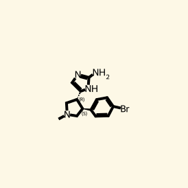 CN1C[C@H](c2ccc(Br)cc2)[C@@H](c2cnc(N)[nH]2)C1